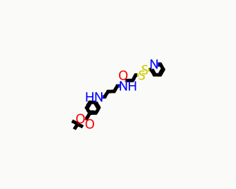 CC(C)(C)OC(=O)c1ccc(NCCCCNC(=O)CCSSc2ccccn2)cc1